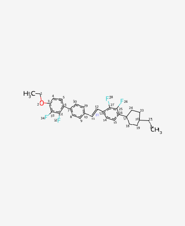 CCOc1ccc(-c2ccc(/C=C/c3ccc(C4CCC(CC)CC4)c(F)c3F)cc2)c(F)c1F